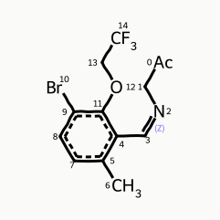 CC(=O)C/N=C\c1c(C)ccc(Br)c1OCC(F)(F)F